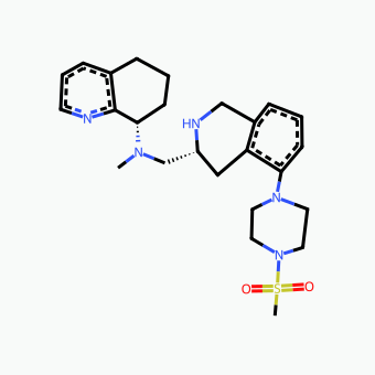 CN(C[C@H]1Cc2c(cccc2N2CCN(S(C)(=O)=O)CC2)CN1)[C@H]1CCCc2cccnc21